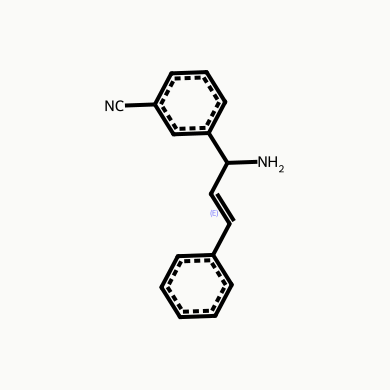 N#Cc1cccc(C(N)/C=C/c2ccccc2)c1